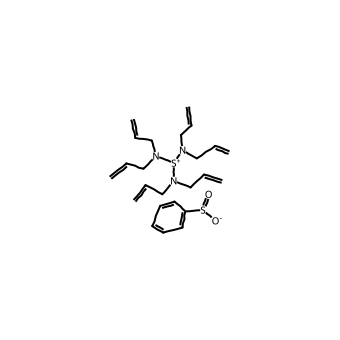 C=CCN(CC=C)[S+](N(CC=C)CC=C)N(CC=C)CC=C.O=S([O-])c1ccccc1